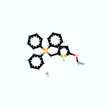 CCCCCCCCCOc1ccc(C[P+](c2ccccc2)(c2ccccc2)c2ccccc2)s1.[Br-]